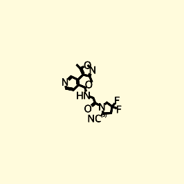 Cc1noc(C)c1-c1cnccc1C(=O)NCC(=O)N1CC(F)(F)C[C@H]1C#N